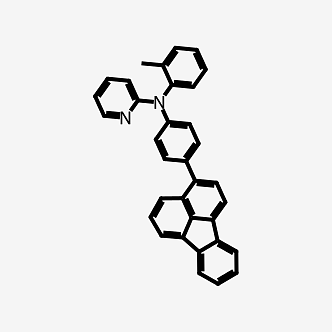 Cc1ccccc1N(c1ccc(-c2ccc3c4c(cccc24)-c2ccccc2-3)cc1)c1ccccn1